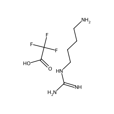 N=C(N)NCCCCN.O=C(O)C(F)(F)F